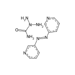 NC(=O)N(N)N.c1cncc(N=Nc2cccnc2)c1